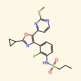 CCCS(=O)(=O)Nc1cccc(-c2nc(C3CC3)oc2-c2ccnc(SC)n2)c1F